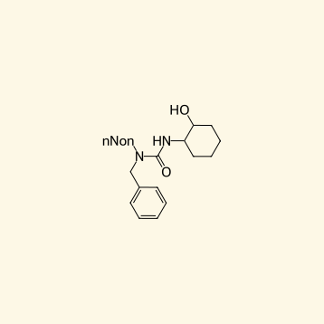 CCCCCCCCCN(Cc1ccccc1)C(=O)NC1CCCCC1O